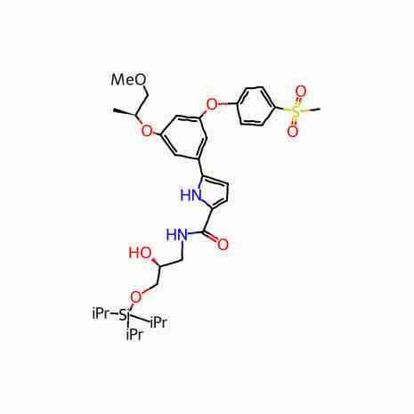 COC[C@H](C)Oc1cc(Oc2ccc(S(C)(=O)=O)cc2)cc(-c2ccc(C(=O)NC[C@H](O)CO[Si](C(C)C)(C(C)C)C(C)C)[nH]2)c1